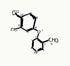 O=Cc1cnccc1Oc1ccc(Cl)c(Cl)c1